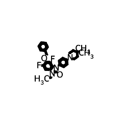 CCn1c(=O)n(-c2ccc(N3CCC(C)(C)CC3)cc2)c2c(F)c(OCc3ccccc3)c(F)cc21